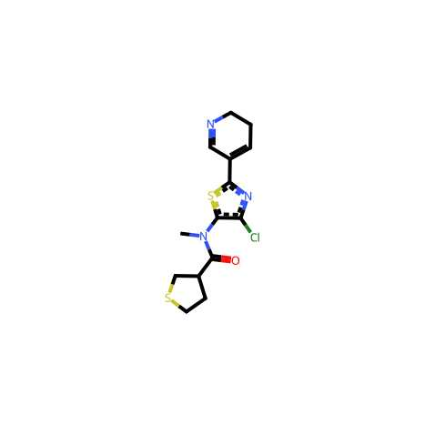 CN(C(=O)C1CCSC1)c1sc(C2=CCCN=C2)nc1Cl